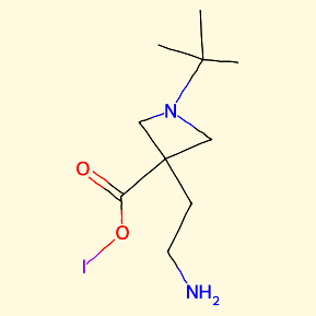 CC(C)(C)N1CC(CCN)(C(=O)OI)C1